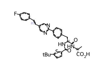 C[C@@H](NC(=O)[C@H](Cc1ccc(-c2ncc(/C=C/c3ccc(F)cc3)cn2)cc1)NC(=O)c1ccc(C(C)(C)C)s1)C(=O)O